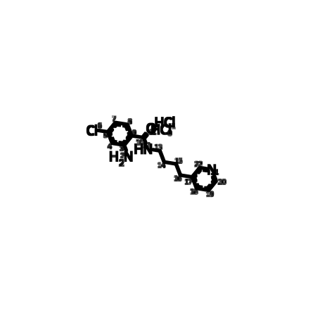 Cl.Cl.Nc1cc(Cl)ccc1C(=O)NCCCCc1cccnc1